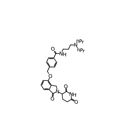 CCCN(CCC)CCCNC(=O)c1ccc(COc2cccc3c2CN(C2CCC(=O)NC2=O)C3=O)cc1